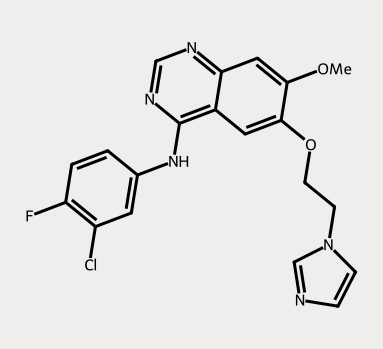 COc1cc2ncnc(Nc3ccc(F)c(Cl)c3)c2cc1OCCn1ccnc1